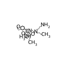 CCCCN(CCCCN)C(=O)CN1C[C@H](c2ccc3c(c2)CCO3)[C@@H](C(=O)O)[C@@H]1CC(C)CCC